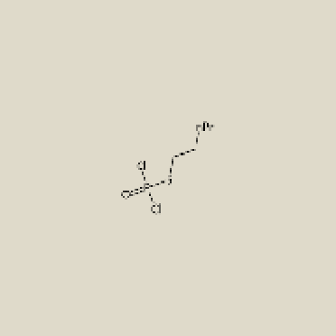 CCCCCSP(=O)(Cl)Cl